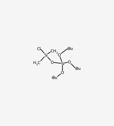 CCC(C)O[Si](OC(C)CC)(OC(C)CC)O[Si](C)(C)Cl